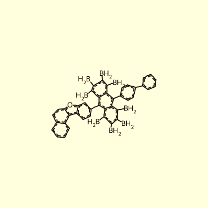 Bc1c(B)c(B)c2c(-c3ccc4c(c3)oc3ccc5ccccc5c34)c3c(B)c(B)c(B)c(B)c3c(-c3ccc(-c4ccccc4)cc3)c2c1B